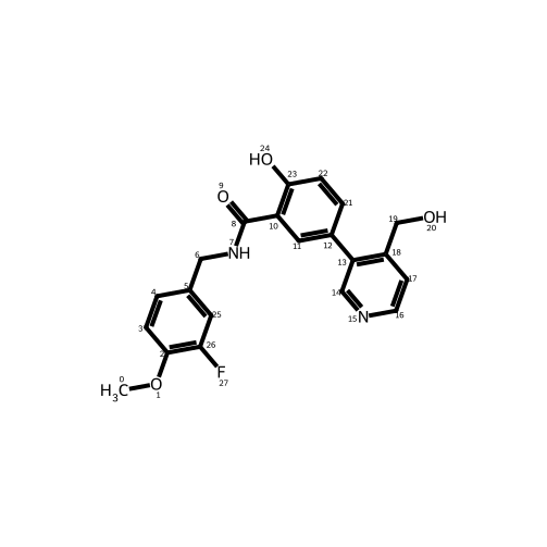 COc1ccc(CNC(=O)c2cc(-c3cnccc3CO)ccc2O)cc1F